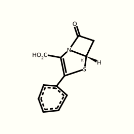 O=C(O)C1=C(c2ccccc2)S[C@H]2CC(=O)N12